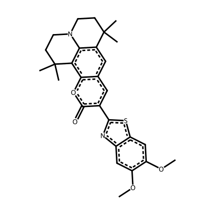 COc1cc2nc(-c3cc4cc5c6c(c4oc3=O)C(C)(C)CCN6CCC5(C)C)sc2cc1OC